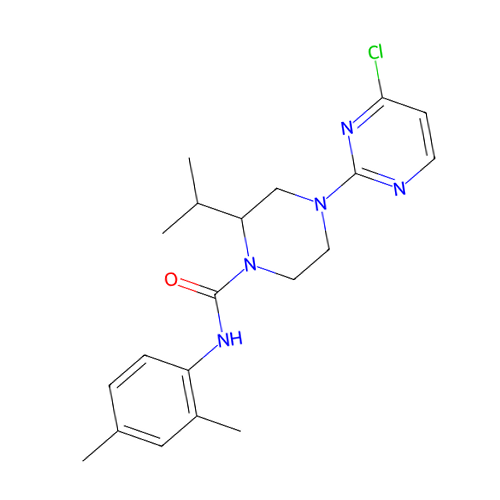 Cc1ccc(NC(=O)N2CCN(c3nccc(Cl)n3)CC2C(C)C)c(C)c1